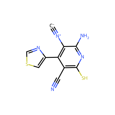 [C-]#[N+]c1c(N)nc(S)c(C#N)c1-c1cscn1